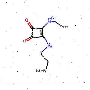 CCCCNc1c(NCCNC)c(=O)c1=O